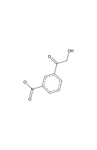 O=C(CO)c1cccc([N+](=O)[O-])c1